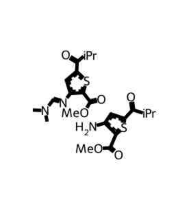 COC(=O)c1sc(C(=O)C(C)C)cc1N.COC(=O)c1sc(C(=O)C(C)C)cc1N=CN(C)C